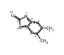 Cc1cc2c(cc1C)=NC(=O)N=2